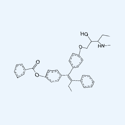 CCC(=C(c1ccc(OCC(O)C(CC)NC)cc1)c1ccc(OC(=O)c2ccccc2)cc1)c1ccccc1